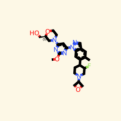 COc1nc(N2CCO[C@H](CO)C2)cc(-n2ncc3cc(C)c(C4CCN(C5COC5)CC4F)cc32)n1